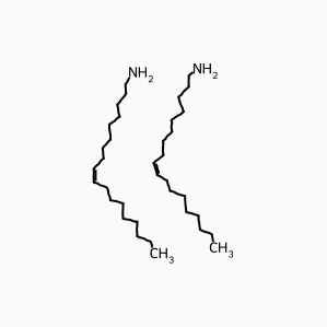 CCCCCCCC/C=C\CCCCCCCCN.CCCCCCCC/C=C\CCCCCCCCN